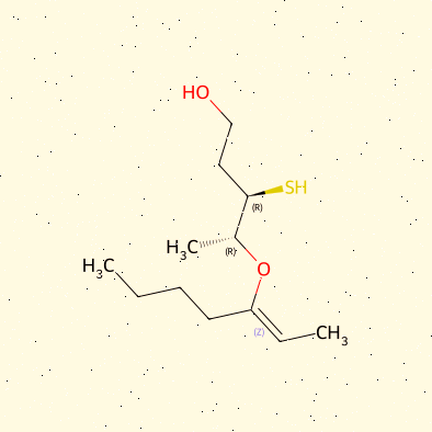 C/C=C(/CCCC)O[C@H](C)[C@H](S)CCO